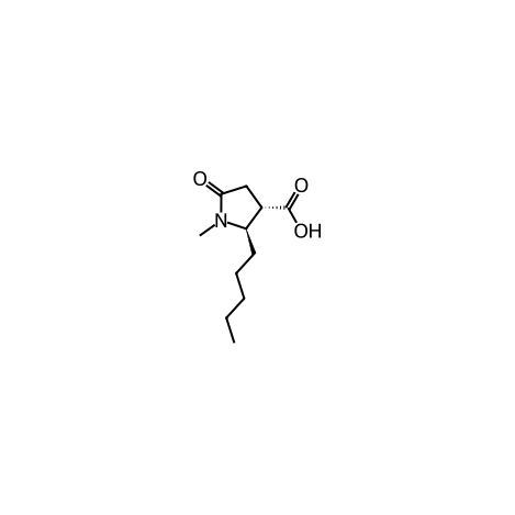 CCCCC[C@@H]1[C@@H](C(=O)O)CC(=O)N1C